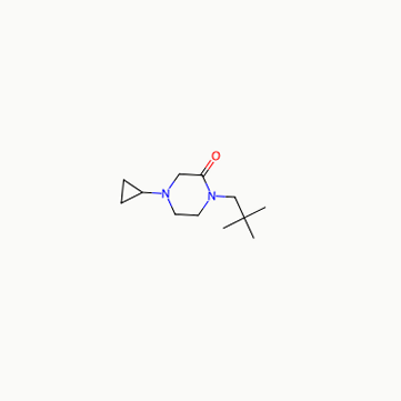 CC(C)(C)CN1CCN(C2CC2)CC1=O